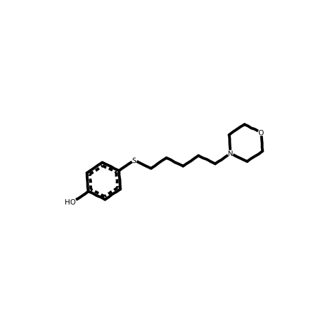 Oc1ccc(SCCCCCN2CCOCC2)cc1